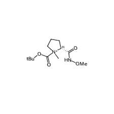 CONC(=O)[C@H]1CCC[N+]1(C)C(=O)OC(C)(C)C